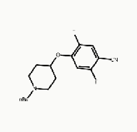 CCCCN1CCC(Oc2cc(F)c(C#N)cc2F)CC1